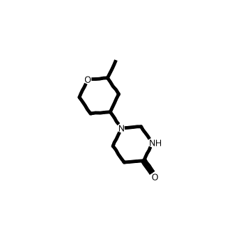 CC1CC(N2CCC(=O)NC2)CCO1